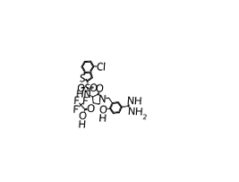 N=C(N)c1ccc(O)c(CN2CCC(NS(=O)(=O)c3cc4c(Cl)cccc4s3)C2=O)c1.O=C(O)C(F)(F)F